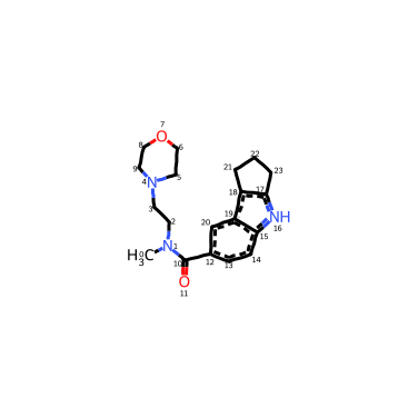 CN(CCN1CCOCC1)C(=O)c1ccc2[nH]c3c(c2c1)CCC3